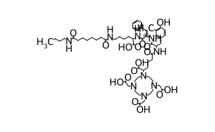 CCCCNC(=O)CCCCCCC(=O)NCCCCC(NC(=O)[C@@H](Cc1ccccc1)NC(=O)C(Cc1ccc(O)c(C)c1)NC(=O)CCCC(C(=O)O)N1CCN(CC(=O)O)CCN(CC(=O)O)CCN(CC(=O)O)CC1)C(=O)O